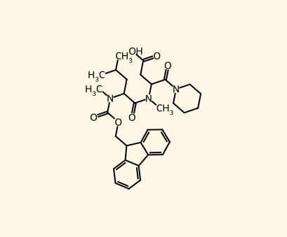 CC(C)CC(C(=O)N(C)C(CC(=O)O)C(=O)N1CCCCC1)N(C)C(=O)OCC1c2ccccc2-c2ccccc21